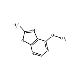 COc1ncnc2c1N=C(C)[N]2